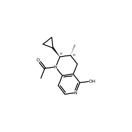 CC(=O)N1c2ccnc(O)c2C[C@@H](C)[C@@H]1C1CC1